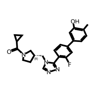 Cc1ccc(-c2ccc(-c3nncn3C[C@@H]3CCN(C(=O)C4CC4)C3)c(F)c2)cc1O